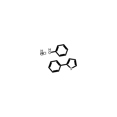 Cl.Cl.Oc1ccccc1.c1ccc(-c2cccs2)cc1